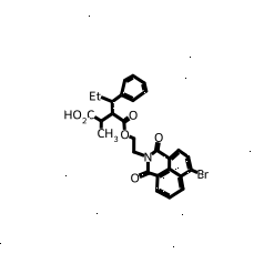 CCC(c1ccccc1)C(C(=O)OCCN1C(=O)c2cccc3c(Br)ccc(c23)C1=O)C(C)C(=O)O